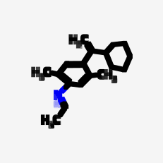 C=C(c1cc(C)c(/N=C/C)cc1C)C1CCCCC1